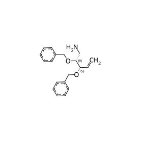 C=C[C@H](OCc1ccccc1)[C@@H](CN)OCc1ccccc1